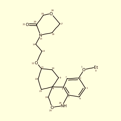 CCOc1ccc2c(c1)C1(CCC(OCCN3CCOCC3=O)CC1)CON2